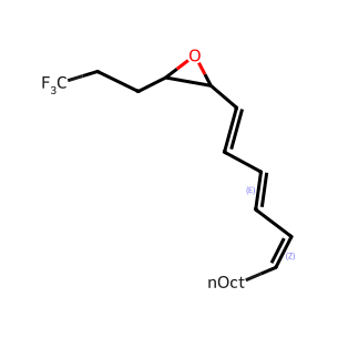 CCCCCCCC/C=C\C=C\C=CC1OC1CCC(F)(F)F